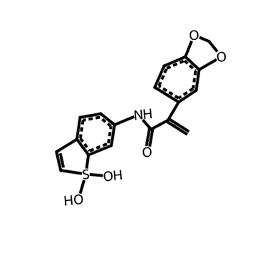 C=C(C(=O)Nc1ccc2c(c1)S(O)(O)C=C2)c1ccc2c(c1)OCO2